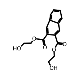 O=C(OCCO)c1cc2ccccc2cc1C(=O)OCCO